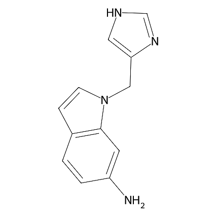 Nc1ccc2ccn(Cc3c[nH]cn3)c2c1